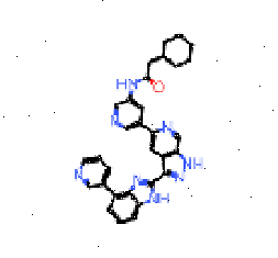 O=C(CC1CCCCC1)Nc1cncc(-c2cc3c(-c4nc5c(-c6cccnc6)cccc5[nH]4)n[nH]c3cn2)c1